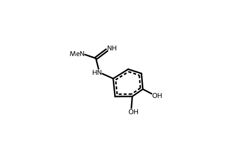 CNC(=N)Nc1ccc(O)c(O)c1